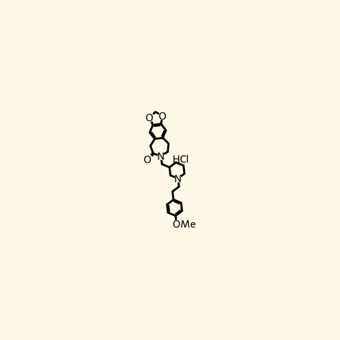 COc1ccc(CCN2CCCC(CN3CCc4cc5c(cc4CC3=O)OCO5)C2)cc1.Cl